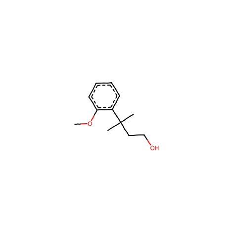 COc1ccccc1C(C)(C)CCO